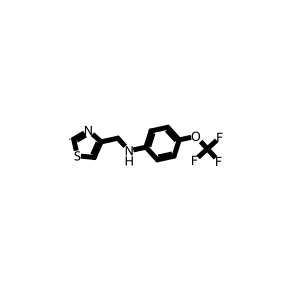 FC(F)(F)Oc1ccc(NCc2cs[c]n2)cc1